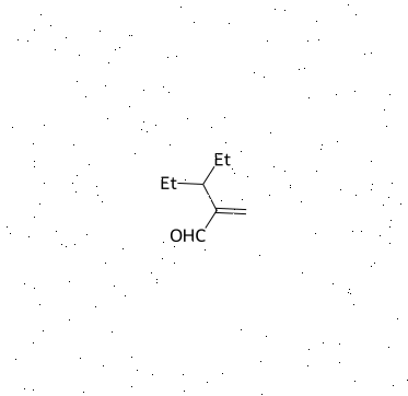 C=C(C=O)C(CC)CC